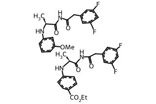 CCOC(=O)c1ccc(N[C@@H](C)C(=O)NC(=O)Cc2cc(F)cc(F)c2)cc1.COc1cccc(N[C@@H](C)C(=O)NC(=O)Cc2cc(F)cc(F)c2)c1